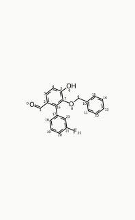 O=Cc1ccc(O)c(OCc2ccccc2)c1-c1cccc(F)c1